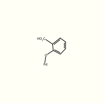 O=C(O)c1ccccc1[O][Pd]